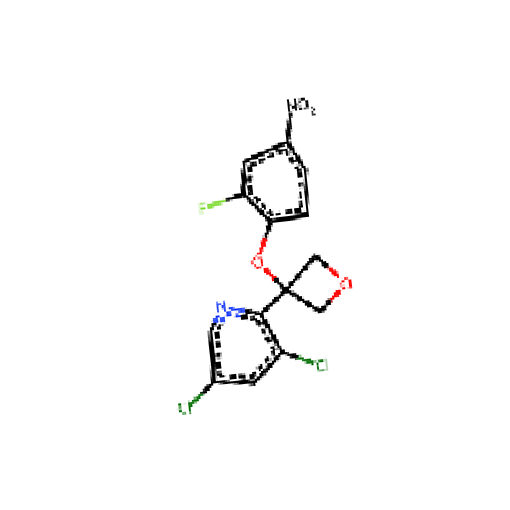 O=[N+]([O-])c1ccc(OC2(c3ncc(Cl)cc3Cl)COC2)c(F)c1